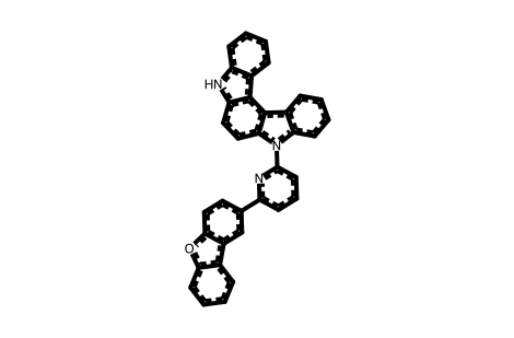 c1cc(-c2ccc3oc4ccccc4c3c2)nc(-n2c3ccccc3c3c4c(ccc32)[nH]c2ccccc24)c1